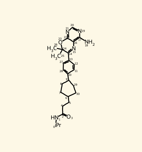 CC(C)NC(=O)CCC1CCC(c2ccc(C3=Nc4c(N)ncnc4OC3(C)C)cc2)CC1